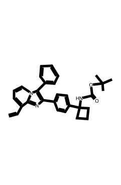 C=Cc1cccn2c(-c3ccccc3)c(-c3ccc(C4(NC(=O)OC(C)(C)C)CCC4)cc3)nc12